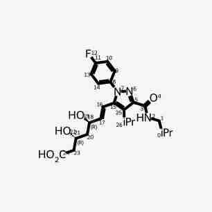 CC(C)CNC(=O)c1nn(-c2ccc(F)cc2)c(C=C[C@H](O)C[C@@H](O)CC(=O)O)c1C(C)C